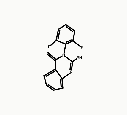 C=C1c2ccccc2N=C(S)N1c1c(F)cccc1F